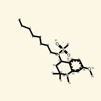 CCCCCCCCN(C1CC(C)(C)N(C)c2cc(OC)ccc21)S(C)(=O)=O